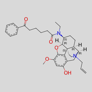 C=CCN1CC[C@]23c4c5c(O)cc(OC)c4O[C@H]2[C@@H](N(CC)C(=O)CCCCC(=O)c2ccccc2)CC[C@H]3[C@H]1C5